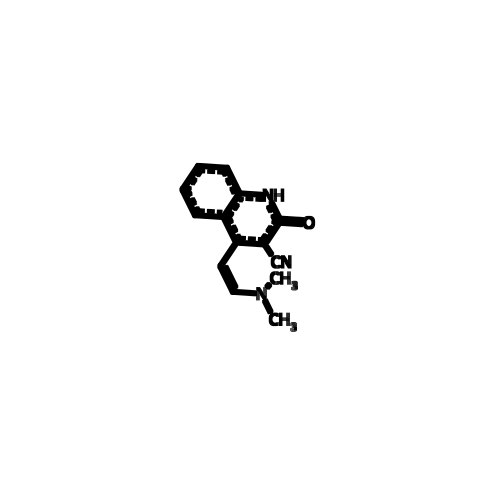 CN(C)/C=C\c1c(C#N)c(=O)[nH]c2ccccc12